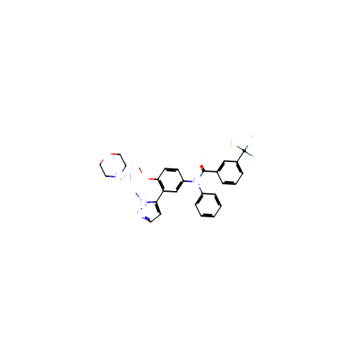 Cn1nccc1-c1cc(N(C(=O)c2cccc(C(F)(F)F)c2)c2ccccc2)ccc1OC[C@H]1COCCN1